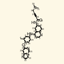 Cc1cc(Nc2ncnc3ccc(NC(=O)C#CCN(C)C)cc23)ccc1Oc1cc2nccn2cn1